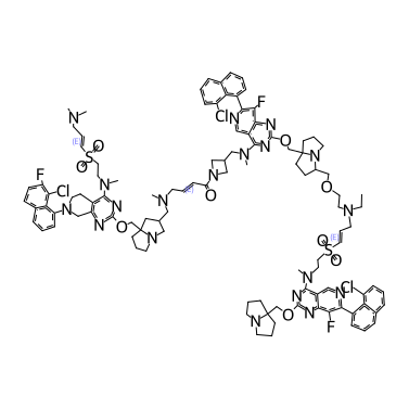 CCN(C/C=C/S(=O)(=O)CCN(C)c1nc(OCC23CCCN2CCC3)nc2c(F)c(-c3cccc4cccc(Cl)c34)ncc12)CCOCC1CCC2(COc3nc(N(C)CC4CN(C(=O)/C=C/CN(C)CC5CN6CCCC6(COc6nc7c(c(N(C)CCS(=O)(=O)/C=C/CN(C)C)n6)CCN(c6cccc8ccc(F)c(Cl)c68)C7)C5)C4)c4cnc(-c5cccc6cccc(Cl)c56)c(F)c4n3)CCCN12